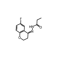 CCC(=O)N/N=C1/CCOc2ccc(F)cc21